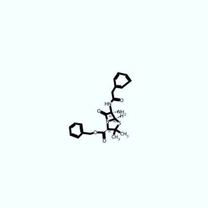 CC1(C)S[C@H]2N(C(=O)[C@@]2(N)NC(=O)Cc2ccccc2)[C@H]1C(=O)OCc1ccccc1